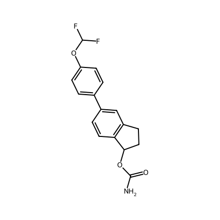 NC(=O)OC1CCc2cc(-c3ccc(OC(F)F)cc3)ccc21